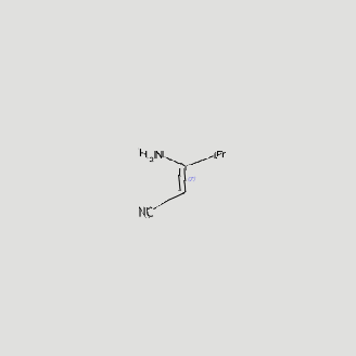 CC(C)/C(N)=C/C#N